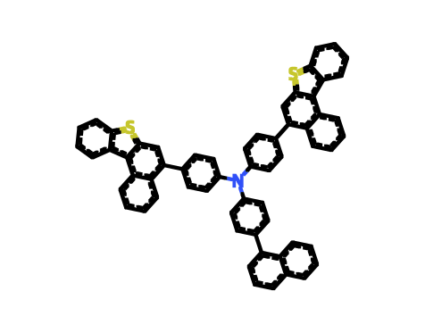 c1ccc2c(-c3ccc(N(c4ccc(-c5cc6sc7ccccc7c6c6ccccc56)cc4)c4ccc(-c5cc6sc7ccccc7c6c6ccccc56)cc4)cc3)cccc2c1